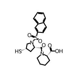 O=C(O)[C@@H]1CCCCN1C(=O)[C@@H]1C[C@H](S)CN1S(=O)(=O)c1ccc2ccccc2c1